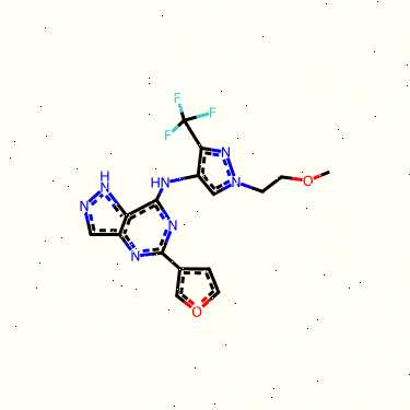 COCCn1cc(Nc2nc(-c3ccoc3)nc3cn[nH]c23)c(C(F)(F)F)n1